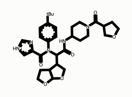 CC(C)(C)c1ccc(N(C(=O)c2c[nH]cn2)C(C(=O)NC2CCN(C(=O)C3CCOC3)CC2)C2COC3OCCC32)cc1